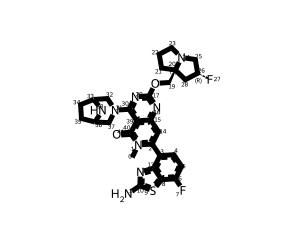 Cn1c(-c2ccc(F)c3sc(N)nc23)cc2nc(OC[C@@]34CCCN3C[C@H](F)C4)nc(N3CC4CCC(C3)N4)c2c1=O